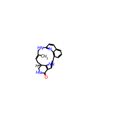 C/C1=C\C[C@H]2CNC(=O)c3cc([nH]c32)-c2cccc3ccc(nc23)NC1